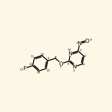 O=Nc1ccnc(OCc2ccc(F)cc2)n1